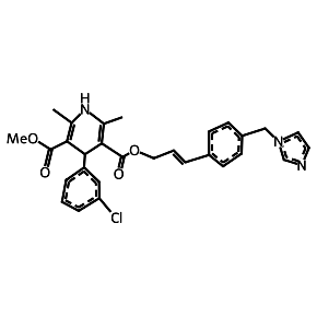 COC(=O)C1=C(C)NC(C)=C(C(=O)OCC=Cc2ccc(Cn3ccnc3)cc2)C1c1cccc(Cl)c1